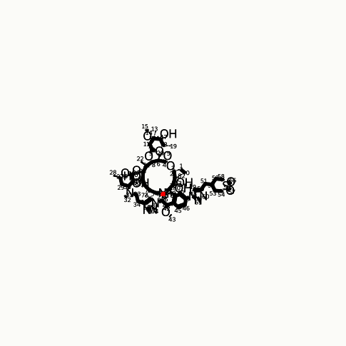 CC[C@H]1OC(=O)[C@H](C)[C@@H](O[C@H]2C[C@@](C)(OC)[C@@H](O)[C@H](C)O2)[C@H](C)[C@@H](O[C@@H]2O[C@H](C)C[C@H](N(C)CCc3cn([C@H](CF)[C@H](OC)c4ccc(-n5cc(CC6CCS(=O)(=O)CC6)nn5)cc4)nn3)[C@H]2O)[C@](C)(O)C[C@@H](C)CN(C)[C@H](C)[C@@H](O)[C@]1(C)O